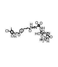 COc1cc(Cl)c(I)cc1NCC(=O)N1CCN(CC=CC(=O)NCCNc2c(NC[C@H]3O[C@@H](n4cnc5c(=O)[nH]c(N)nc54)[C@H](O)[C@@H]3O)c(=O)c2=O)CC1